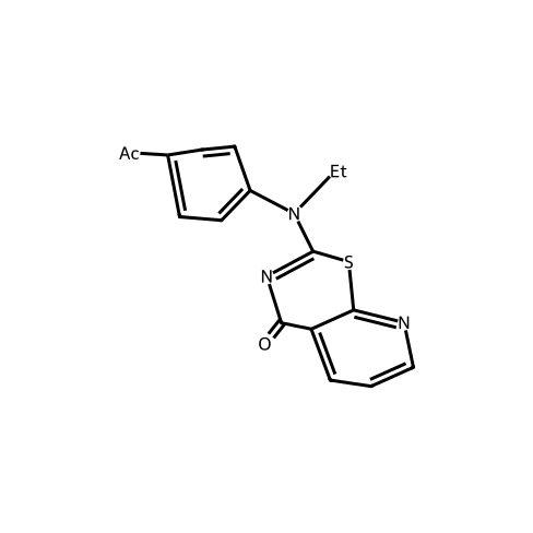 CCN(c1ccc(C(C)=O)cc1)c1nc(=O)c2cccnc2s1